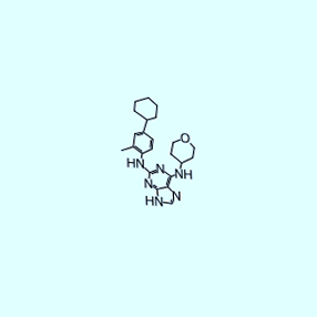 Cc1cc(C2CCCCC2)ccc1Nc1nc(NC2CCOCC2)c2nc[nH]c2n1